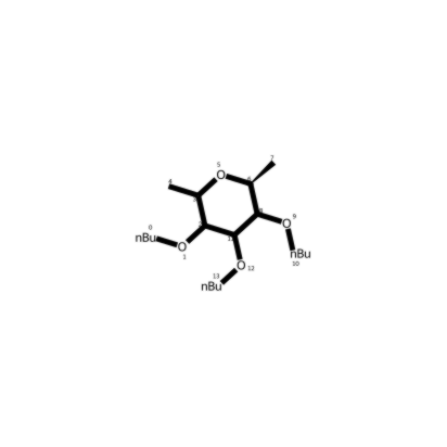 CCCCOC1C(C)O[C@@H](C)C(OCCCC)C1OCCCC